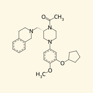 COc1ccc(N2CCN(C(C)=O)[C@@H](CN3CCc4ccccc4C3)C2)cc1OC1CCCC1